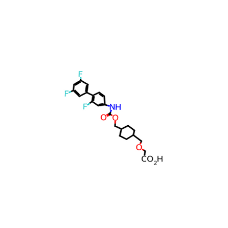 O=C(O)COCC1CCC(COC(=O)Nc2ccc(-c3cc(F)cc(F)c3)c(F)c2)CC1